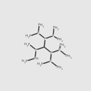 PPP(P)C(P(P(P)P)P(P)P)P(P(P)P)P(P)P